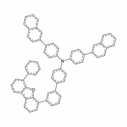 c1ccc(-c2cccc3c2oc2c(-c4cccc(-c5ccc(N(c6ccc(-c7ccc8ccccc8c7)cc6)c6ccc(-c7ccc8ccccc8c7)cc6)cc5)c4)cccc23)cc1